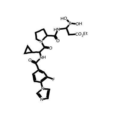 CCOC(=O)CC(NC(=O)C1CCCN1C(=O)C(NC(=O)c1ccc(-n2ccnc2)c(F)c1)C1CC1)B(O)O